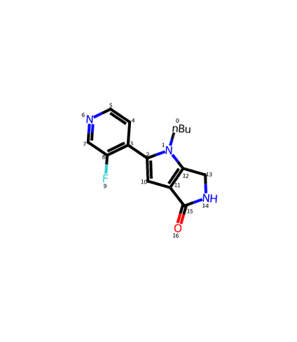 CCCCn1c(-c2ccncc2F)cc2c1CNC2=O